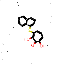 O=c1c(O)cccc(Sc2cccc3ccccc23)c1O